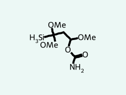 COC(CC([SiH3])(OC)OC)OC(N)=O